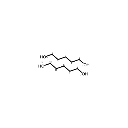 OCCCCCO.OCCCCCO